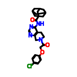 O=C(COc1ccc(Cl)cc1)N1CCc2c(ncnc2NC(=O)C23CC4CC(CC(C4)C2)C3)C1